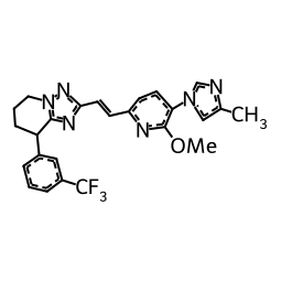 COc1nc(C=Cc2nc3n(n2)CCCC3c2cccc(C(F)(F)F)c2)ccc1-n1cnc(C)c1